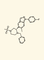 Cc1cc2c(cnn2-c2ccc(F)cc2)cc1[C@@H]1CN(S(C)(=O)=O)CCN1Cc1ccccc1